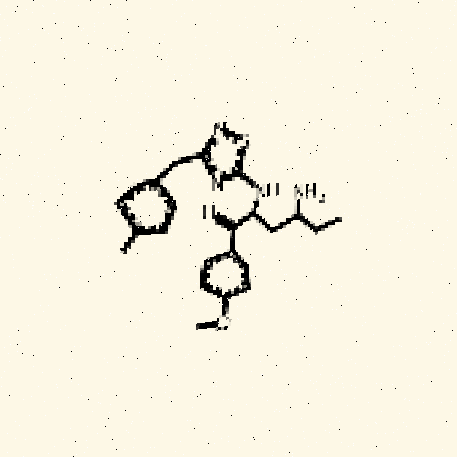 CCC(N)CC(Nc1nc(Cc2ccc(C)cc2)ns1)C(=O)c1ccc(OC)cc1